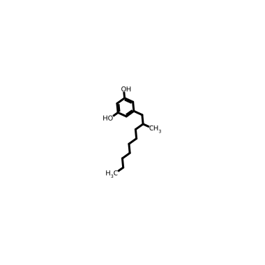 CCCCCCCC(C)Cc1cc(O)cc(O)c1